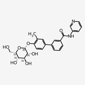 Cc1cc(-c2cccc(C(=O)Nc3cccnc3)c2)ccc1O[C@H]1O[C@@H](CO)[C@@H](O)[C@H](O)[C@H]1O